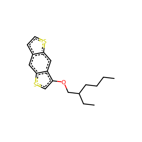 CCCCC(CC)COc1csc2cc3ccsc3cc12